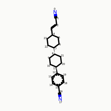 N#C/C=C/C1CCC([C@H]2CC[C@H](c3ccc(C#N)cc3)CC2)CC1